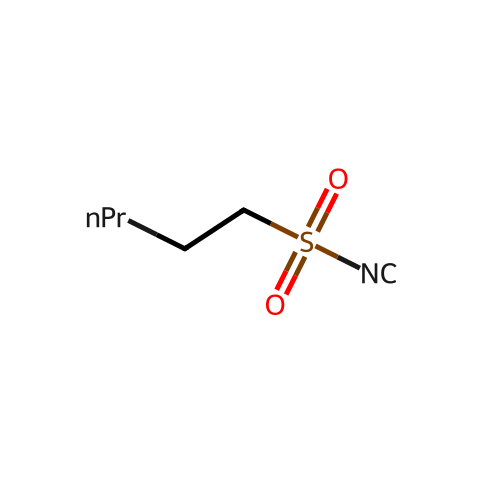 [C-]#[N+]S(=O)(=O)CCCCC